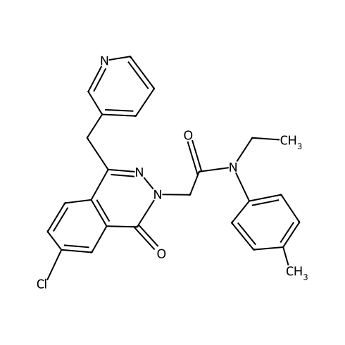 CCN(C(=O)Cn1nc(Cc2cccnc2)c2ccc(Cl)cc2c1=O)c1ccc(C)cc1